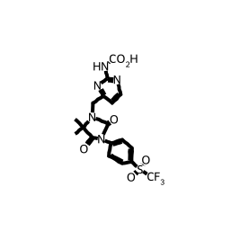 CC1(C)C(=O)N(c2ccc(S(=O)(=O)C(F)(F)F)cc2)C(=O)N1Cc1ccnc(NC(=O)O)n1